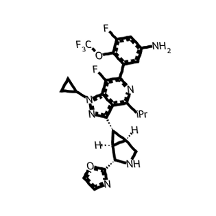 CC(C)c1nc(-c2cc(N)cc(F)c2OC(F)(F)F)c(F)c2c1c([C@@H]1[C@H]3CN[C@H](c4ncco4)[C@H]31)nn2C1CC1